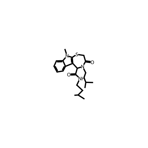 CC(C)CCNC(=O)C1c2c(n(C)c3ccccc23)SCC(=O)N1CCC(C)C